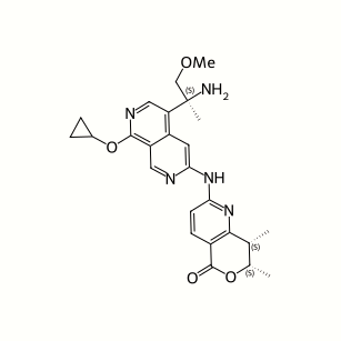 COC[C@@](C)(N)c1cnc(OC2CC2)c2cnc(Nc3ccc4c(n3)[C@H](C)[C@H](C)OC4=O)cc12